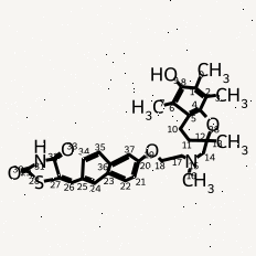 Cc1c(C)c2c(c(C)c1O)CCC(C)(CN(C)CCOc1ccc3cc(C=C4SC(=O)NC4=O)ccc3c1)O2